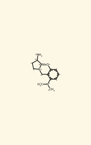 COc1cccc(N(C)C)c1CN1CCC(N)C1